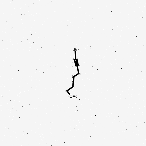 CC(=O)OCCCCC#CBr